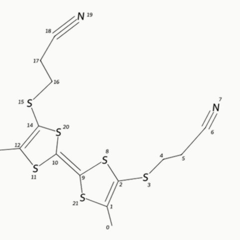 CC1=C(SCCC#N)S/C(=C2/SC(C)=C(SCCC#N)S2)S1